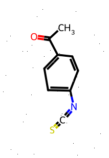 CC(=O)c1ccc(N=C=S)cc1